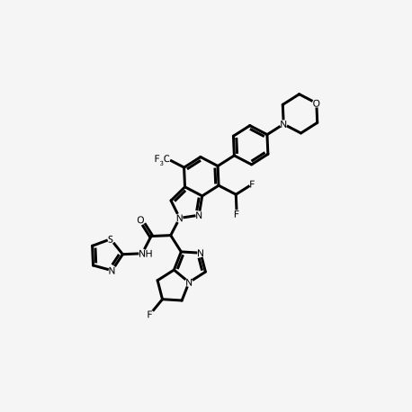 O=C(Nc1nccs1)C(c1ncn2c1CC(F)C2)n1cc2c(C(F)(F)F)cc(-c3ccc(N4CCOCC4)cc3)c(C(F)F)c2n1